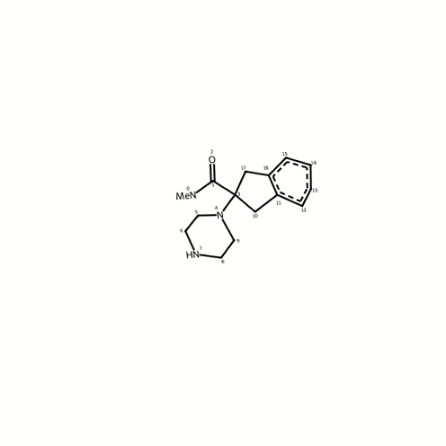 CNC(=O)C1(N2CCNCC2)Cc2ccccc2C1